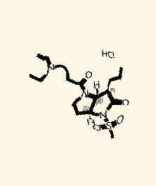 CCC[C@H]1C(=O)N(S(C)(=O)=O)[C@H]2CCN(C(=O)CCN(CC)CC)[C@H]12.Cl